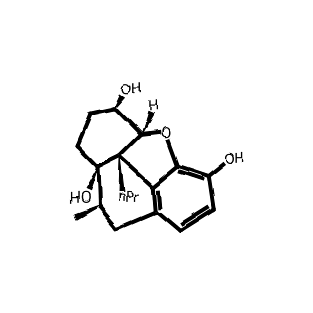 CCC[C@]12c3c4ccc(O)c3O[C@H]1[C@H](O)CC[C@@]2(O)[C@H](C)C4